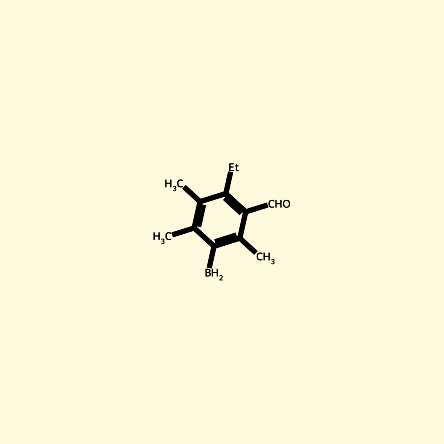 Bc1c(C)c(C)c(CC)c(C=O)c1C